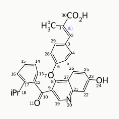 C/C(=C\c1ccc(Oc2c(C(=O)c3ccccc3C(C)C)cnc3cc(O)ccc23)cc1)C(=O)O